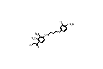 Cc1c(OCCCCOc2ccc(C(=O)O)c(Cl)c2)ccc(C(=O)CC(C)C)c1C